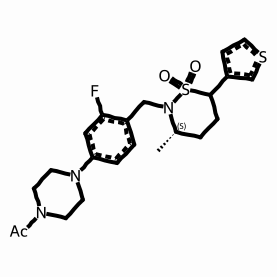 CC(=O)N1CCN(c2ccc(CN3[C@@H](C)CCC(c4ccsc4)S3(=O)=O)c(F)c2)CC1